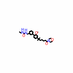 CCNC(=O)NCc1cccc(-c2ccc(C(C)(C)CCCCC(=O)N3CCOCC3)cc2OC)c1